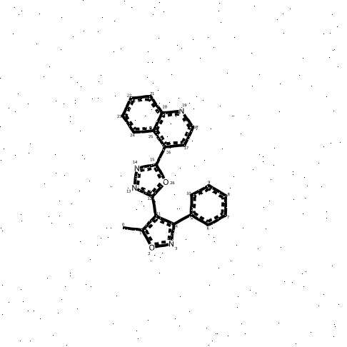 Cc1onc(-c2ccccc2)c1-c1nnc(-c2ccnc3ccccc23)o1